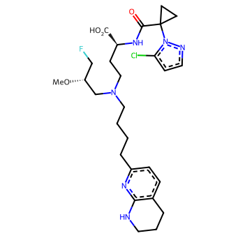 CO[C@H](CF)CN(CCCCc1ccc2c(n1)NCCC2)CC[C@H](NC(=O)C1(n2nccc2Cl)CC1)C(=O)O